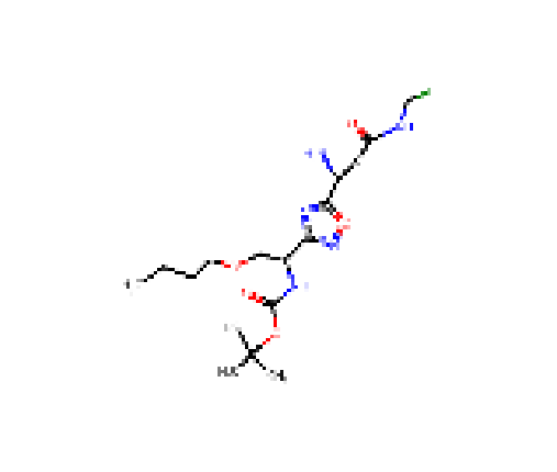 CCCCOC[C@H](NC(=O)OC(C)(C)C)c1noc([C@@H](N)CC(=O)NCF)n1